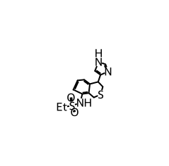 CCS(=O)(=O)Nc1cccc2c1CSCC2c1c[nH]cn1